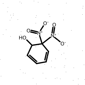 O=[N+]([O-])C1([N+](=O)[O-])C=CC=CC1O